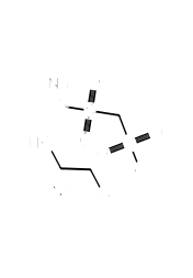 O=S(=O)([O-])CS(=O)(=O)[O-].OCCO.[Na+].[Na+]